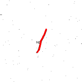 CCCCCCCCCCCCCCCCCCCCCCCCCCCCC(O)CCCCCCCCCCCCCCCCCCCCCCCCCCC